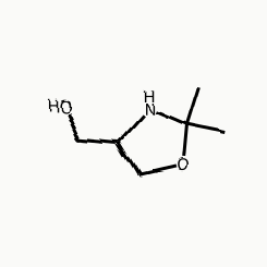 CC1(C)NC(CO)CO1